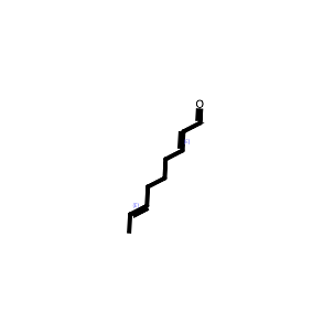 C/C=C/CCC/C=C/[C]=O